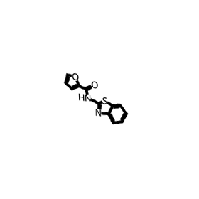 O=C(Nc1nc2ccccc2s1)c1ccco1